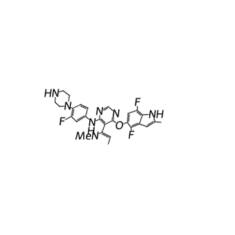 CC=C(NC)c1c(Nc2ccc(N3CCNCC3)c(F)c2)ncnc1Oc1cc(F)c2[nH]c(C)cc2c1F